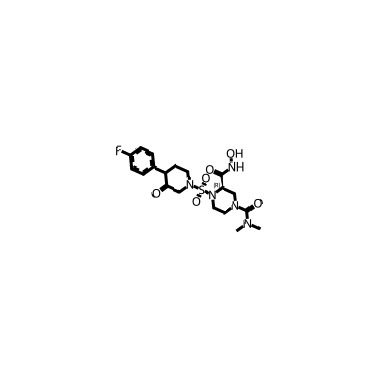 CN(C)C(=O)N1CCN(S(=O)(=O)N2CCC(c3ccc(F)cc3)C(=O)C2)[C@@H](C(=O)NO)C1